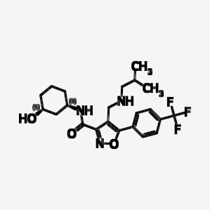 CC(C)CNCc1c(C(=O)N[C@@H]2CCC[C@H](O)C2)noc1-c1ccc(C(F)(F)F)cc1